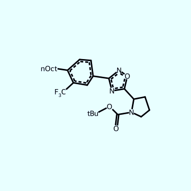 CCCCCCCCc1ccc(-c2noc(C3CCCN3C(=O)OC(C)(C)C)n2)cc1C(F)(F)F